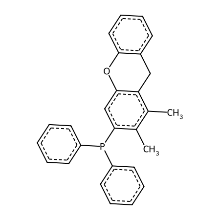 Cc1c(P(c2ccccc2)c2ccccc2)cc2c(c1C)Cc1ccccc1O2